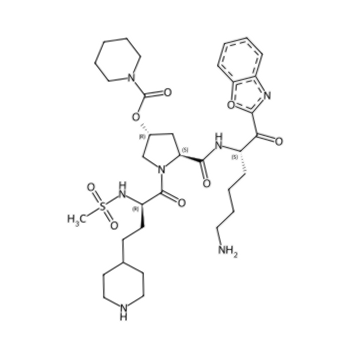 CS(=O)(=O)N[C@H](CCC1CCNCC1)C(=O)N1C[C@H](OC(=O)N2CCCCC2)C[C@H]1C(=O)N[C@@H](CCCCN)C(=O)c1nc2ccccc2o1